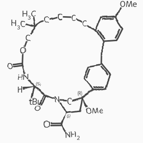 COc1ccc2c(c1)CCCCC(C)(C)COC(=O)N[C@@H](C(C)(C)C)C(=O)N1C[C@@](OC)(C[C@H]1C(N)=O)c1ccc-2cc1